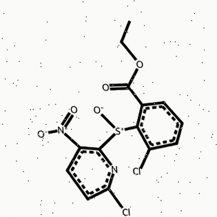 CCOC(=O)c1cccc(Cl)c1[S+]([O-])c1nc(Cl)ccc1[N+](=O)[O-]